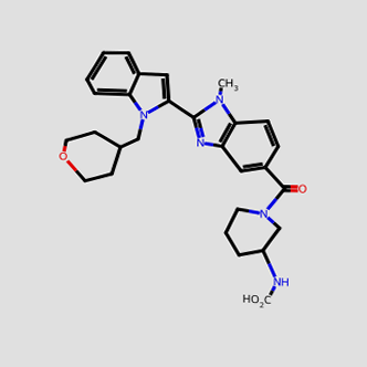 Cn1c(-c2cc3ccccc3n2CC2CCOCC2)nc2cc(C(=O)N3CCCC(NC(=O)O)C3)ccc21